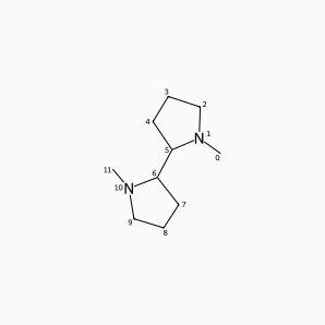 CN1CCCC1C1CCCN1C